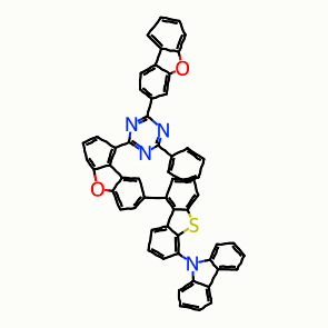 c1ccc(-c2nc(-c3ccc4c(c3)oc3ccccc34)nc(-c3cccc4oc5ccc(-c6cccc7sc8c(-n9c%10ccccc%10c%10ccccc%109)cccc8c67)cc5c34)n2)cc1